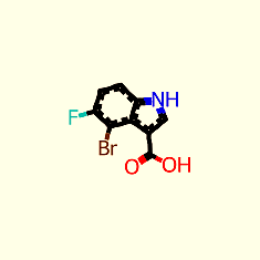 O=C(O)c1c[nH]c2ccc(F)c(Br)c12